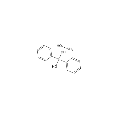 O[SiH3].O[Si](O)(c1ccccc1)c1ccccc1